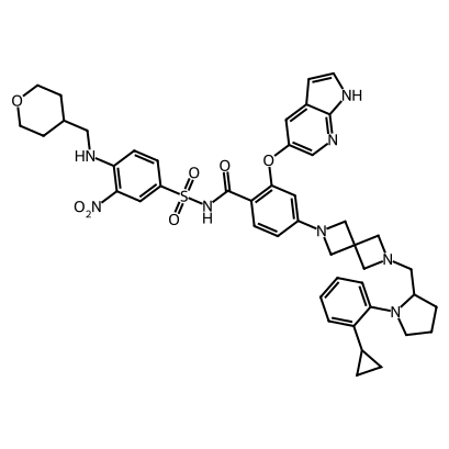 O=C(NS(=O)(=O)c1ccc(NCC2CCOCC2)c([N+](=O)[O-])c1)c1ccc(N2CC3(CN(CC4CCCN4c4ccccc4C4CC4)C3)C2)cc1Oc1cnc2[nH]ccc2c1